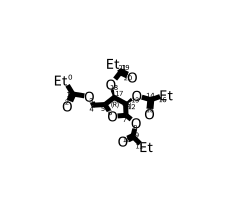 CCC(=O)OCC1OC(OC(=O)CC)[C@H](OC(=O)CC)[C@@H]1OC(=O)CC